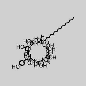 CCCCCCCCCCCCCCCC(=O)N[C@H]1C[C@@H](O)[C@@H](O)NC(=O)[C@@H]2[C@@H](O)[C@@H](C)CN2C(=O)[C@H]([C@@H](C)O)NC(=O)[C@H]([C@H](O)[C@@H](O)c2ccc(O)cc2)NC(=O)[C@@H]2C[C@@H](O)CN2C(=O)[C@H]([C@@H](C)O)NC1=O